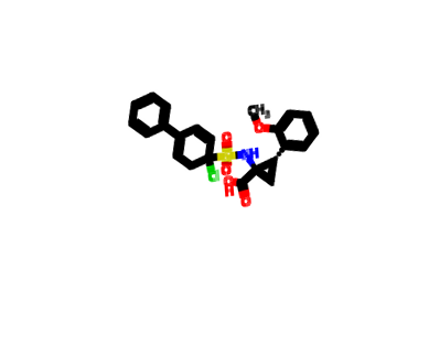 COc1ccccc1[C@@H]1C[C@]1(NS(=O)(=O)C1(Cl)C=CC(c2ccccc2)=CC1)C(=O)O